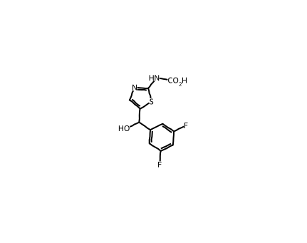 O=C(O)Nc1ncc(C(O)c2cc(F)cc(F)c2)s1